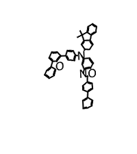 CC1(C)C2=CC(N(c3ccc(-c4cccc5c4oc4ccccc45)cc3)c3ccc4oc(-c5ccc(-c6ccccc6)cc5)nc4c3)CC=C2c2ccccc21